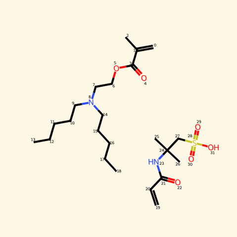 C=C(C)C(=O)OCCN(CCCCC)CCCCC.C=CC(=O)NC(C)(C)CS(=O)(=O)O